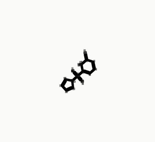 O=c1cccc(S(=O)(=O)n2cccc2)[nH]1